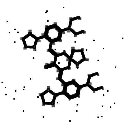 CCN(CC)c1ccc(C2OCCO2)c(/C=C2\CC3(C/C(=C\c4cc(N(CC)CC)ccc4C4OCCO4)C2=O)OCCO3)c1